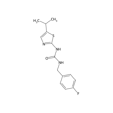 CC(C)c1cnc(NC(=O)NCc2ccc(F)cc2)s1